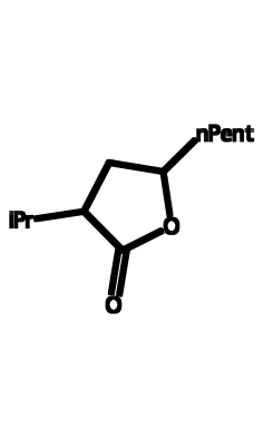 CCCCCC1CC(C(C)C)C(=O)O1